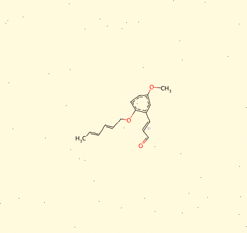 CC=CC=CCOc1ccc(OC)cc1/C=C/C=O